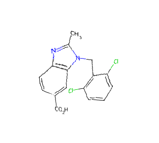 Cc1nc2ccc(C(=O)O)cc2n1Cc1c(Cl)cccc1Cl